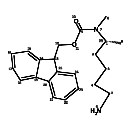 C[C@H](CCCCN)N(C)C(=O)OCC1c2ccccc2-c2ccccc21